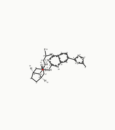 Cc1nnc(-c2ccc3cnc(NC(=O)N4[C@@H]5CC[C@H]4C[C@@H](NCC(F)F)C5)nc3c2)s1